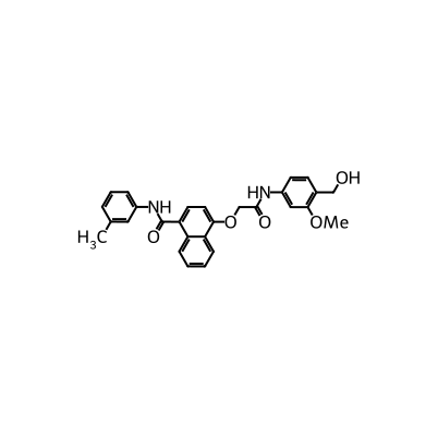 COc1cc(NC(=O)COc2ccc(C(=O)Nc3cccc(C)c3)c3ccccc23)ccc1CO